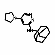 c1nnc(NC23CC4CC(CC(C4)C2)C3)cc1N1CCCC1